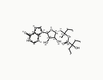 CCC(O)(CC)[PH](=O)O[C@@](C)(CC)C[C@H]1OC(n2cnc3c(=O)[nH]cnc32)[C@H](O)C1O